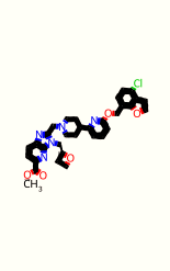 COC(=O)c1ccc2nc(CN3CCC(c4cccc(OCc5ccc(Cl)c6ccoc56)n4)CC3)n(C[C@@H]3CCO3)c2n1